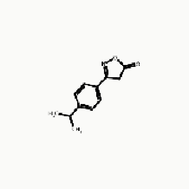 CC(C)c1ccc(C2=NOC(=O)C2)cc1